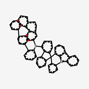 c1ccc(-c2ccc(-c3ccccc3N(c3ccc4c(ccc5ccccc54)c3)c3cccc4c3-c3ccccc3C43c4ccccc4-n4c5ccccc5c5cccc3c54)cc2)cc1